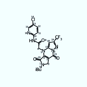 CC[C@H](C)N1Cc2c(n(CC(=O)Nc3ccc(Cl)cn3)c3cc(C(F)(F)F)nn3c2=O)C1=O